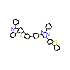 c1ccc(-c2nc(-c3ccc(-c4ccc5sc6c(ccc7c(-c8ccccc8)nc8ccccc8c76)c5c4)cc3)cc(-c3ccc4c(c3)sc3ccccc34)n2)cc1